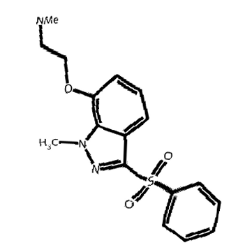 CNCCOc1cccc2c(S(=O)(=O)c3ccccc3)nn(C)c12